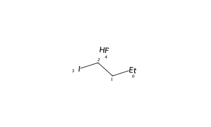 CCCCI.F